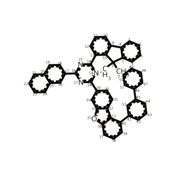 CC1(C)c2ccccc2-c2cccc(-c3nc(-c4ccc5ccccc5c4)nc(-c4ccc5c(c4)oc4cccc(-c6cccc(-c7ccccc7)c6)c45)n3)c21